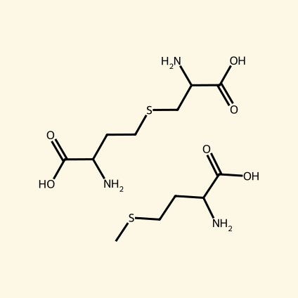 CSCCC(N)C(=O)O.NC(CCSCC(N)C(=O)O)C(=O)O